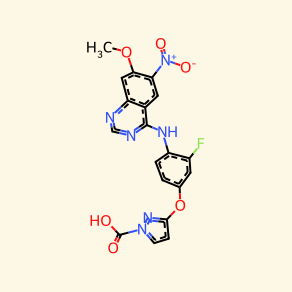 COc1cc2ncnc(Nc3ccc(Oc4ccn(C(=O)O)n4)cc3F)c2cc1[N+](=O)[O-]